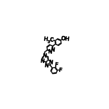 Cc1cc(O)ccc1-c1ccc(Cn2cnc3nc(-c4cccc(F)c4F)nc-3c2)nn1